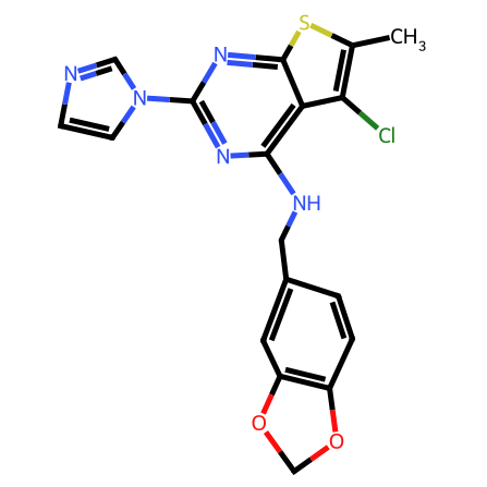 Cc1sc2nc(-n3ccnc3)nc(NCc3ccc4c(c3)OCO4)c2c1Cl